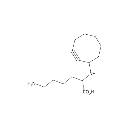 NCCCC[C@H](NC1C#CCCCCC1)C(=O)O